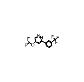 FC(F)Oc1cnnc(-c2cccc(C(F)(F)F)c2)c1